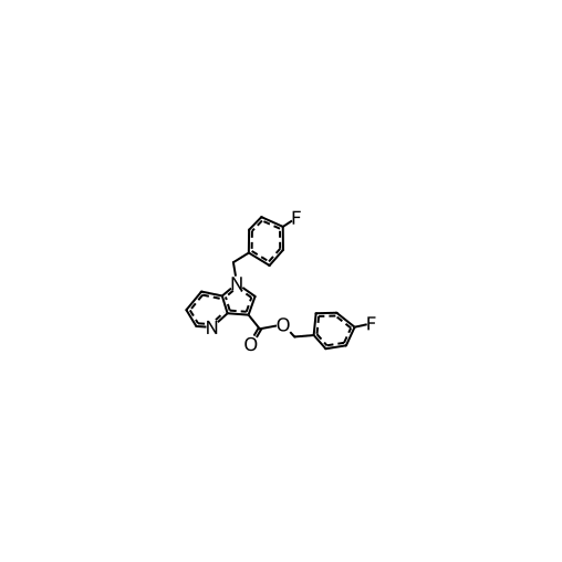 O=C(OCc1ccc(F)cc1)c1cn(Cc2ccc(F)cc2)c2cccnc12